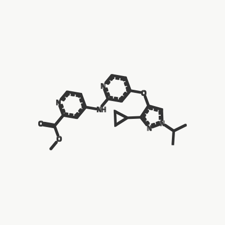 COC(=O)c1cc(Nc2cc(Oc3cn(C(C)C)nc3C3CC3)ccn2)ccn1